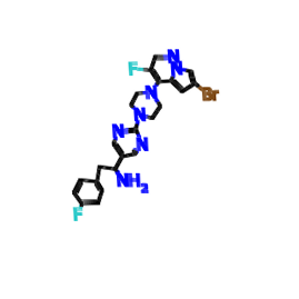 N[C@@H](Cc1ccc(F)cc1)c1cnc(N2CCN(c3c(F)cnn4cc(Br)cc34)CC2)nc1